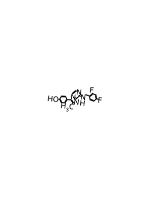 Cc1nc2c(NCc3ccc(F)cc3F)nccn2c1-c1ccc(O)cc1